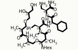 CCCCCC[C@@H](OC[C@@H](C)NC(=O)[C@@H](C)COC[C@@H](O)CO)[C@@H](C)C(=O)N(C)[C@@H](CC(C)C)C(=O)N[C@H](C(=O)N[C@@H](CN)C(N)=O)C1CCCCC1